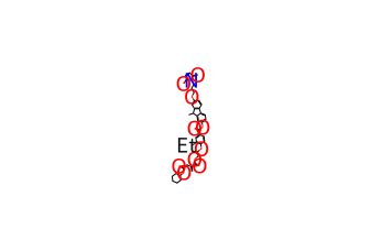 C=C(CC(=O)OC1CCCCC1)C(=O)OCCOc1ccc(C(=O)Oc2ccc3c(c2)C(C)c2cc(OCCCN4C(=O)C=CC4=O)ccc2-3)cc1CC